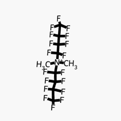 C[N+](C)(C(F)(F)C(F)(F)C(F)(F)C(F)(F)F)C(F)(F)C(F)(F)C(F)(F)C(F)(F)F